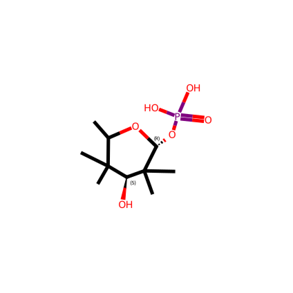 CC1O[C@H](OP(=O)(O)O)C(C)(C)[C@@H](O)C1(C)C